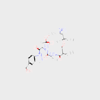 CCCCOC(=O)C[C@H](NC(=O)[C@H](C)NC(=O)C(C)COC(C)(C)CCN)C(=O)Nc1ccc(CO)cc1